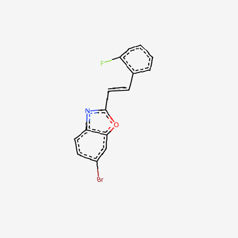 Fc1ccccc1/C=C/c1nc2ccc(Br)cc2o1